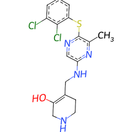 Cc1nc(NCC2=C(O)CNCC2)cnc1Sc1cccc(Cl)c1Cl